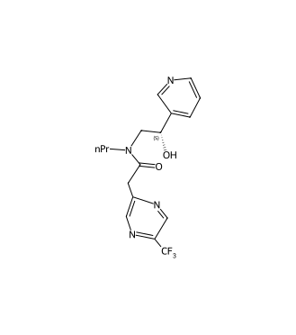 CCCN(C[C@@H](O)c1cccnc1)C(=O)Cc1cnc(C(F)(F)F)cn1